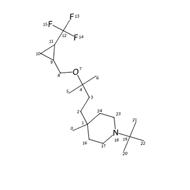 CC1(CCC(C)(C)OCC2CC2C(F)(F)F)CCN(C(C)(C)C)CC1